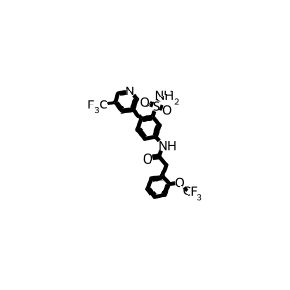 NS(=O)(=O)c1cc(NC(=O)Cc2ccccc2OC(F)(F)F)ccc1-c1cncc(C(F)(F)F)c1